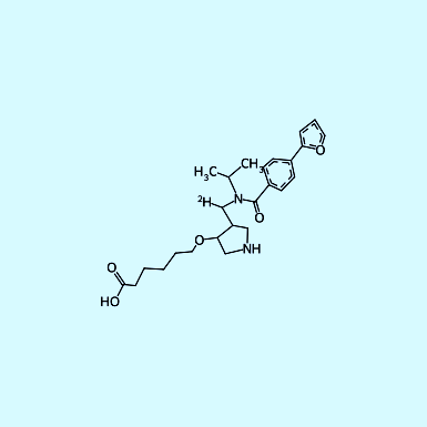 [2H]C(C1CNCC1OCCCCCC(=O)O)N(C(=O)c1ccc(-c2ccco2)cc1)C(C)C